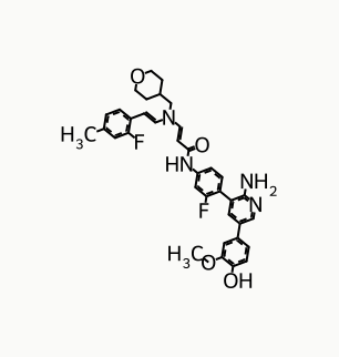 COc1cc(-c2cnc(N)c(-c3ccc(NC(=O)/C=C/N(/C=C/c4ccc(C)cc4F)CC4CCOCC4)cc3F)c2)ccc1O